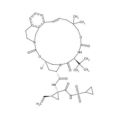 C=C[C@@H]1C[C@]1(NC(=O)[C@@H]1C[C@@H]2CN1C(=O)[C@H](C(C)(C)C)NC(=O)OCC(C)(C)C/C=C/c1cccc3c1CN(CC3)C(=O)O2)C(=O)NS(=O)(=O)C1CC1